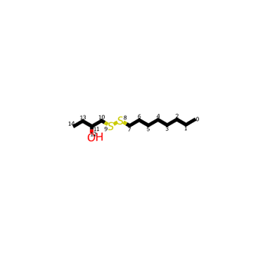 CCCCCCCCSSCC(O)CC